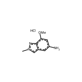 COc1cc(N)cc2cn(C)nc12.Cl